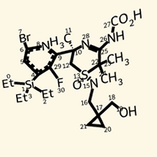 CC[Si](CC)(CC)c1cc(Br)nc([C@]2(C)CS(=O)(=NCC3(CO)CC3)C(C)(C)C(NC(=O)O)=N2)c1F